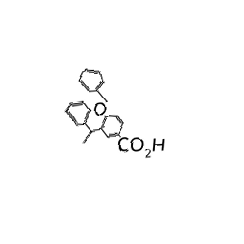 C=C(c1ccccc1)c1cc(C(=O)O)ccc1OCc1ccccc1